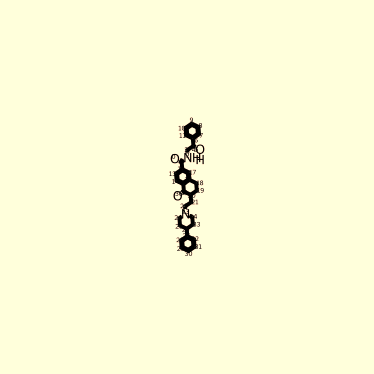 O=C(NCC(O)c1ccccc1)c1ccc2c(c1)CCC(CCN1CCC(c3ccccc3)CC1)C2=O